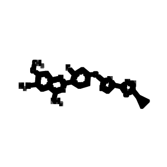 COc1cc2nc(-c3ccc(Oc4nc(-c5nnc(C6CC6)o5)cs4)cc3F)nc(N)c2cc1N